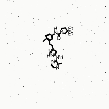 CCC1(CC)CCN(C(=O)Nc2ccc(C)c(CCc3cc(Nc4nccnc4C)[nH]n3)c2)C1